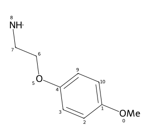 COc1ccc(OCC[NH])cc1